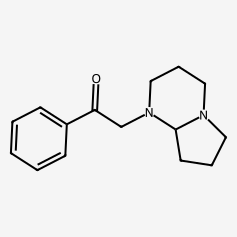 O=C(CN1CCCN2CCCC21)c1ccccc1